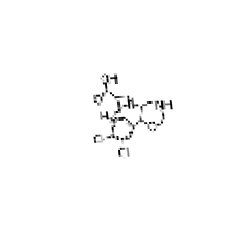 CC1C(C(=O)O)CN1C1CNCCOC1c1ccc(Cl)c(Cl)c1